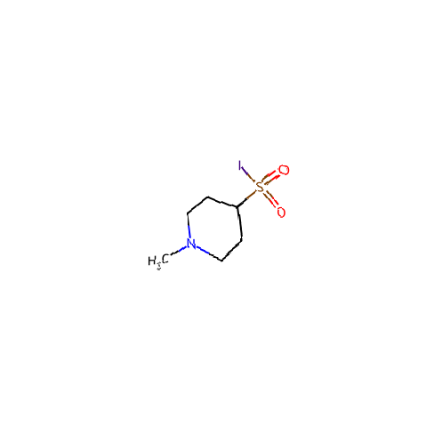 CN1CCC(S(=O)(=O)I)CC1